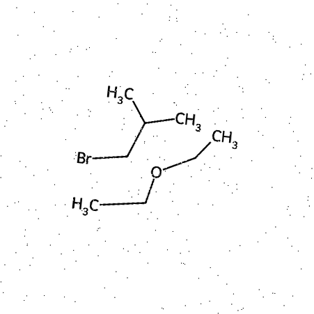 CC(C)CBr.CCOCC